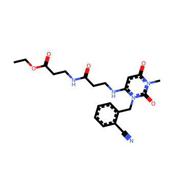 CCOC(=O)CCNC(=O)CCNc1cc(=O)n(C)c(=O)n1Cc1ccccc1C#N